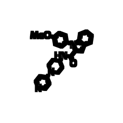 COc1ccc(-n2c(C(=O)NC3CCN(c4ccncc4)CC3)cc3ccccc32)cc1